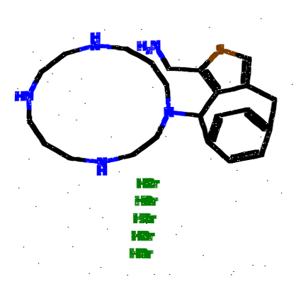 Br.Br.Br.Br.Br.NCc1scc2c1C(N1CCCNCCNCCCNCC1)c1ccc(cc1)C2